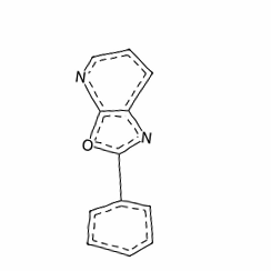 c1ccc(-c2nc3cccnc3o2)cc1